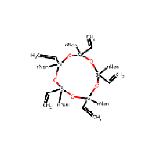 C=C[Si]1(CCCCCCCCC)O[Si](C=C)(CCCCCCCCC)O[Si](C=C)(CCCCCCCCC)O[Si](C=C)(CCCCCCCCC)O[Si](C=C)(CCCCCCCCC)O1